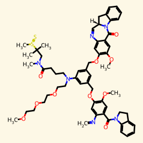 C=Nc1cc(OCc2cc(COc3cc4c(cc3OC)C(=O)N3c5ccccc5C[C@H]3C=N4)cc(N(CCCC(=O)N(C)CC(C)(C)S(C)=S)CCOCCOCCOC)c2)c(OC)cc1C(=O)N1CCc2ccccc21